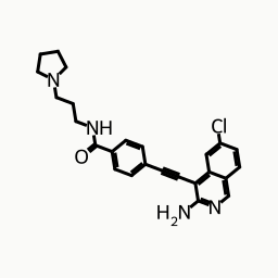 Nc1ncc2ccc(Cl)cc2c1C#Cc1ccc(C(=O)NCCCN2CCCC2)cc1